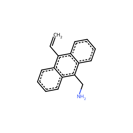 C=Cc1c2ccccc2c(CN)c2ccccc12